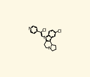 Cl/C(=C\n1c2c(c3cc(Cl)ccc31)C1CCCN1CC2)c1ccncc1